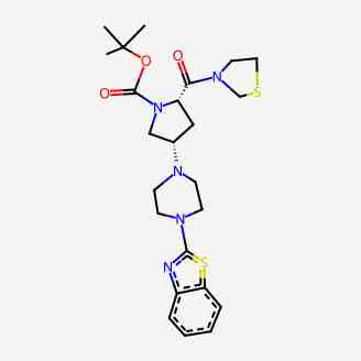 CC(C)(C)OC(=O)N1C[C@@H](N2CCN(c3nc4ccccc4s3)CC2)C[C@H]1C(=O)N1CCSC1